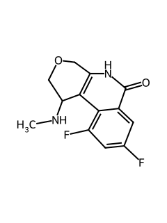 CNC1COCc2[nH]c(=O)c3cc(F)cc(F)c3c21